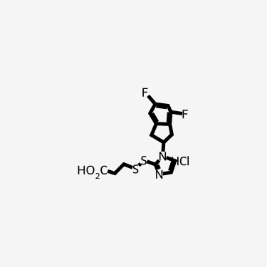 Cl.O=C(O)CCSSc1nccn1C1Cc2cc(F)cc(F)c2C1